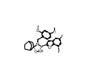 COc1ccc(CN2N(c3cc4cc(F)cc(F)c4o3)NO[C@]23CC2CCC3CC2)c(OC)c1